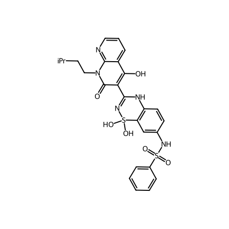 CC(C)CCn1c(=O)c(C2=NS(O)(O)c3cc(NS(=O)(=O)c4ccccc4)ccc3N2)c(O)c2cccnc21